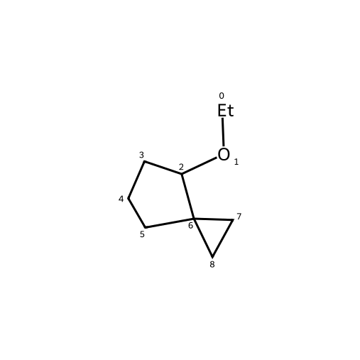 CCOC1CCCC12CC2